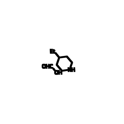 CCC1CCNCC1.O=CO